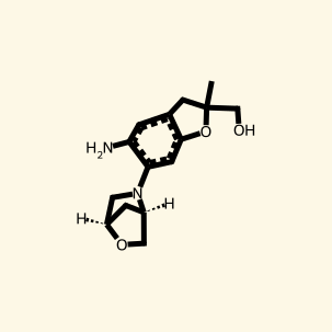 CC1(CO)Cc2cc(N)c(N3C[C@H]4C[C@@H]3CO4)cc2O1